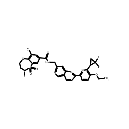 CCOc1ccc(-c2ccc3cnc(CNC(=O)c4cc(Cl)c5c(c4)S(=O)(=O)[C@@H](F)CCO5)cc3n2)nc1C1CC1(F)F